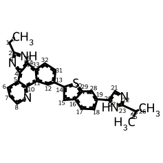 CCc1nc2c3cccnc3c3cc(-c4cc5ccc(-c6cnc(C(C)C)[nH]6)cc5s4)ccc3c2[nH]1